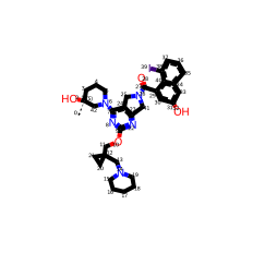 C[C@]1(O)CCCN(c2nc(OCC3(CN4CCCCC4)CC3)nc3c2CN(C(=O)c2cc(O)cc4cccc(I)c24)C3)C1